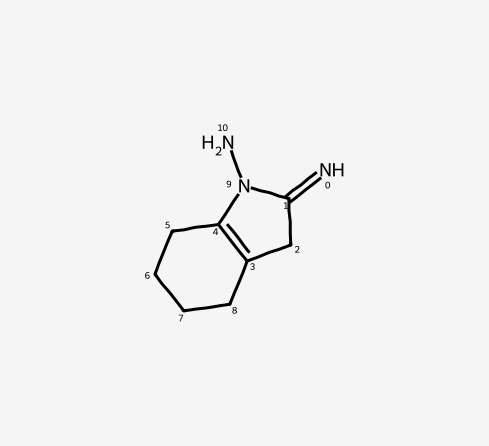 N=C1CC2=C(CCCC2)N1N